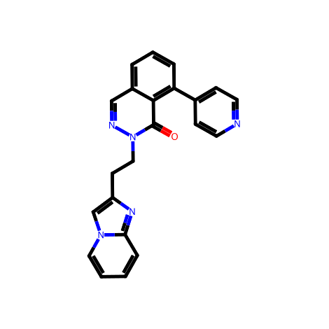 O=c1c2c(-c3ccncc3)cccc2cnn1CCc1cn2ccccc2n1